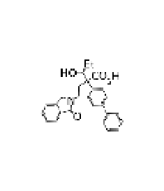 CC[C@H](O)C(CCN1Cc2ccccc2C1=O)(C(=O)O)c1ccc(-c2ccccc2)cc1